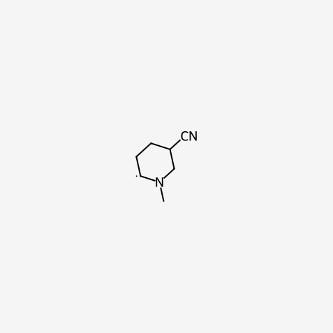 CN1[CH]CCC(C#N)C1